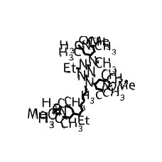 CCc1nc(N(C)C2CC(C)(C)N(OC)C(C)(C)C2)nc(N(CCCCCCC(CC)C2CC(C)(C)N(OOC)C(C)(C)C2)C2CC(C)(C)N(OC)C(C)(C)C2)n1